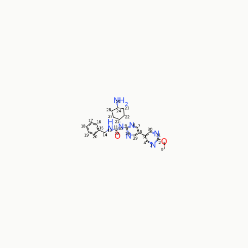 COc1ncc(-c2cnc(N(C(=O)NCc3ccccc3)[C@H]3CC[C@H](N)CC3)nc2)cn1